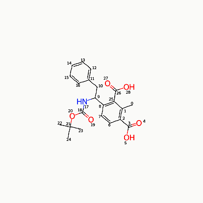 Cc1c(C(=O)O)ccc(C(Cc2ccccc2)NC(=O)OC(C)(C)C)c1C(=O)O